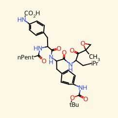 CCCCCC(=O)NC(Cc1ccc(NC(=O)O)cc1)C(=O)NC(Cc1ccc(NC(=O)OC(C)(C)C)cc1)C(=O)NC(CC(C)C)C(=O)C1(C)CO1